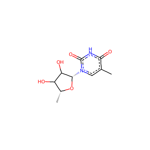 Cc1cn([C@@H]2O[C@H](C)C(O)C2O)c(=O)[nH]c1=O